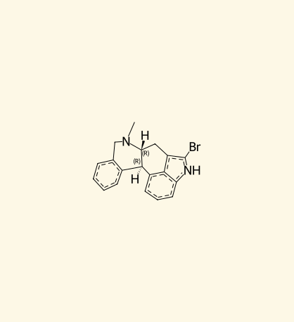 CN1Cc2ccccc2[C@@H]2c3cccc4[nH]c(Br)c(c34)C[C@H]21